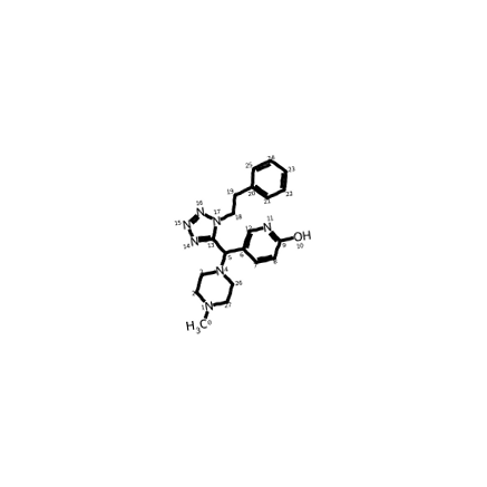 CN1CCN(C(c2ccc(O)nc2)c2nnnn2CCc2ccccc2)CC1